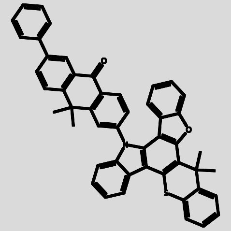 CC1(C)c2ccc(-c3ccccc3)cc2C(=O)c2ccc(-n3c4ccccc4c4c5c(c6oc7ccccc7c6c43)C(C)(C)c3ccccc3S5)cc21